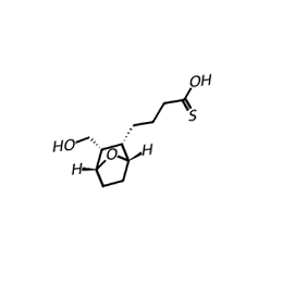 OC[C@@H]1[C@H](CCCC(O)=S)[C@@H]2CC[C@H]1O2